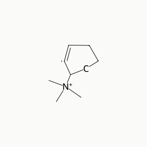 C[N+](C)(C)C1[C]=CCCC1